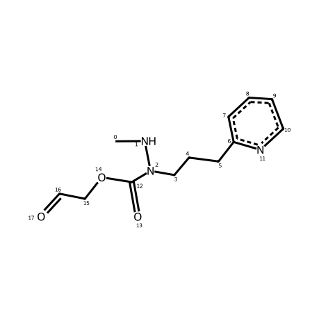 CNN(CCCc1ccccn1)C(=O)OCC=O